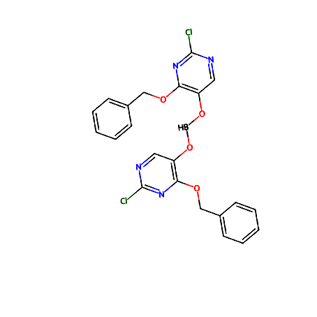 Clc1ncc(OBOc2cnc(Cl)nc2OCc2ccccc2)c(OCc2ccccc2)n1